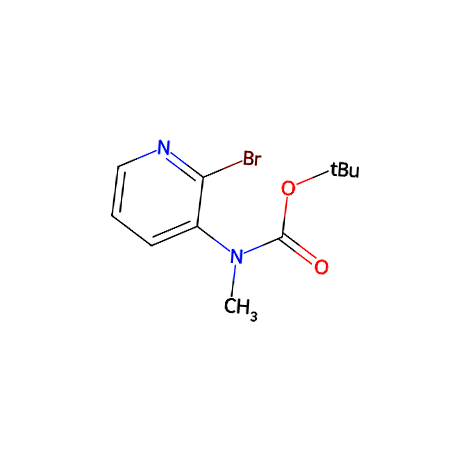 CN(C(=O)OC(C)(C)C)c1cccnc1Br